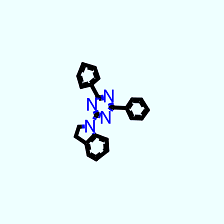 c1ccc(-c2nc(-c3ccccc3)nc(N3CCc4ccccc43)n2)cc1